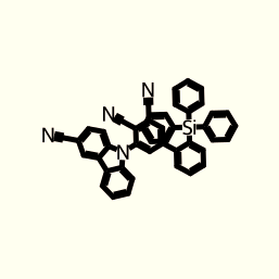 N#Cc1ccc2c(c1)c1ccccc1n2-c1cc(-c2ccccc2[Si](c2ccccc2)(c2ccccc2)c2ccccc2)cc(C#N)c1C#N